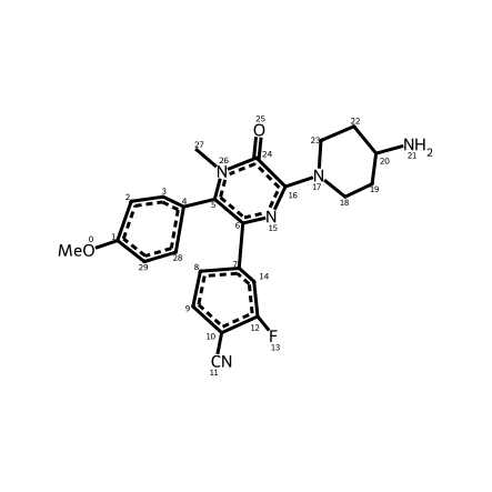 COc1ccc(-c2c(-c3ccc(C#N)c(F)c3)nc(N3CCC(N)CC3)c(=O)n2C)cc1